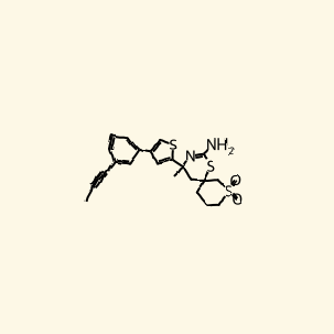 CC#Cc1cccc(-c2csc(C3(C)CC4(CCCS(=O)(=O)C4)SC(N)=N3)c2)c1